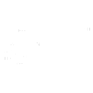 CCCCCCCCCCN(CCCO)CCCCC(C)(C(=O)O)C(=O)O